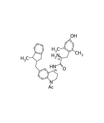 CC(=O)N1CC[C@@H](NC(=O)[C@@H](N)Cc2c(C)cc(O)cc2C)c2cc(CC3Cc4ccccc4C3C)ccc21